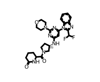 O=C1CCCC(C(=O)N2CC[C@H](Nc3cc(-n4c(C(F)F)nc5ccccc54)nc(N4CCOCC4)n3)C2)N1